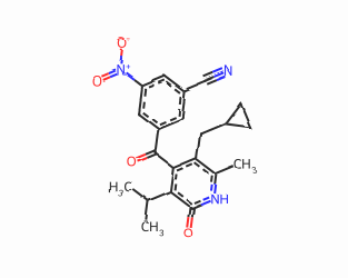 Cc1[nH]c(=O)c(C(C)C)c(C(=O)c2cc(C#N)cc([N+](=O)[O-])c2)c1CC1CC1